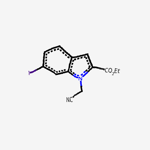 CCOC(=O)c1cc2ccc(I)cc2n1CC#N